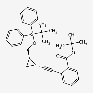 CC(C)(C)OC(=O)c1ccccc1C#C[C@@H]1C[C@H]1CO[Si](c1ccccc1)(c1ccccc1)C(C)(C)C